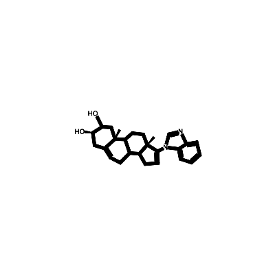 C[C@]12CC(O)[C@H](O)CC1=CCC1C2CC[C@]2(C)C(n3cnc4ccccc43)=CCC12